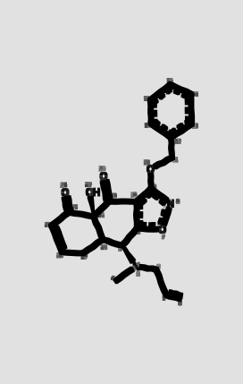 C=CCN(C)[C@@H]1c2onc(OCc3ccccc3)c2C(=O)[C@@]2(O)C(=O)C=CCC12